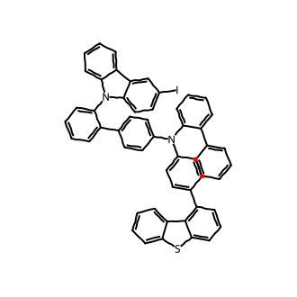 Ic1ccc2c(c1)c1ccccc1n2-c1ccccc1-c1ccc(N(c2ccc(-c3cccc4sc5ccccc5c34)cc2)c2ccccc2-c2ccccc2)cc1